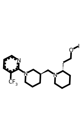 FC(F)(F)c1cccnc1N1CCC[C@H](CN2CCCC[C@H]2CCOI)C1